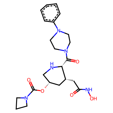 O=C(C[C@@H]1C[C@H](OC(=O)N2CCC2)CN[C@@H]1C(=O)N1CCN(c2ccccc2)CC1)NO